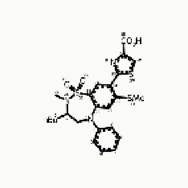 CCCCC1CN(c2ccccc2)c2cc(SC)c(-c3nc(C(=O)O)cs3)cc2S(=O)(=O)N1C